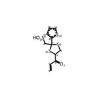 C=CC(=O)C1CSC(CS(=O)(=O)O)(c2cccs2)S1